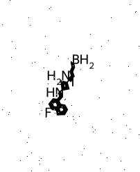 BCCCCC(N)(I)[C@H]1C[C@@H](NCc2ccc(F)c3ccccc23)C1